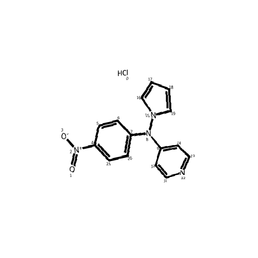 Cl.O=[N+]([O-])c1ccc(N(c2ccncc2)n2cccc2)cc1